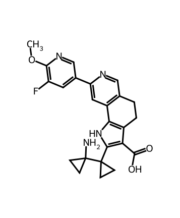 COc1ncc(-c2cc3c(cn2)CCc2c-3[nH]c(C3(C4(N)CC4)CC3)c2C(=O)O)cc1F